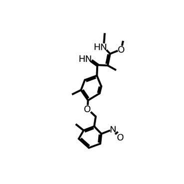 CN/C(OC)=C(/C)C(=N)c1ccc(OCc2c(C)cccc2N=O)c(C)c1